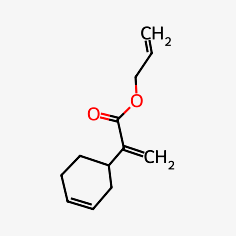 C=CCOC(=O)C(=C)C1CC=CCC1